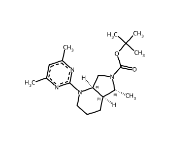 Cc1cc(C)nc(N2CCC[C@@H]3[C@@H](C)N(C(=O)OC(C)(C)C)C[C@@H]32)n1